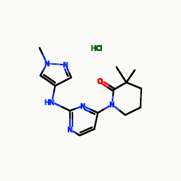 Cl.Cn1cc(Nc2nccc(N3CCCC(C)(C)C3=O)n2)cn1